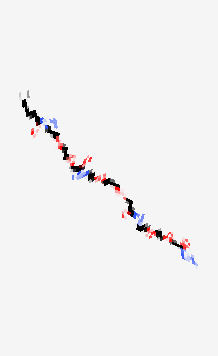 C#CCCC(=O)NCCOCCOCC(=O)NCCOCCOCC(=O)NCCOCCOCC(N)=O